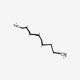 N#CCC[CH]CCCC#N